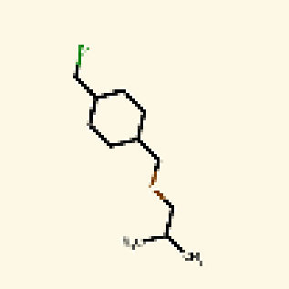 CC(C)CSCC1CCC(CBr)CC1